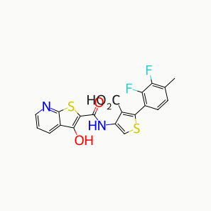 Cc1ccc(-c2scc(NC(=O)c3sc4ncccc4c3O)c2C(=O)O)c(F)c1F